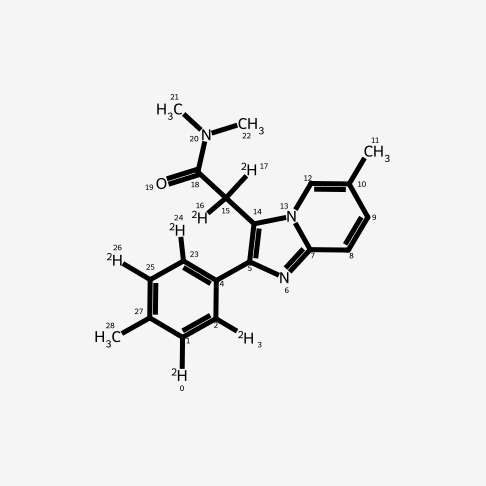 [2H]c1c([2H])c(-c2nc3ccc(C)cn3c2C([2H])([2H])C(=O)N(C)C)c([2H])c([2H])c1C